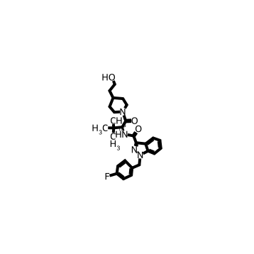 CC(C)(C)[C@H](NC(=O)c1nn(Cc2ccc(F)cc2)c2ccccc12)C(=O)N1CCC(CCO)CC1